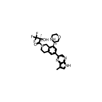 Cc1c[nH]c2ncc(-c3cc4c(c([C@@H]5COCCN5)c3)CN(C(=O)[C@](C)(O)C(F)(F)F)CC4)nc12